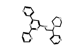 c1ccc(-c2nc(NCC(c3cccnc3)N3CCOCC3)cc(-c3cccnc3)n2)nc1